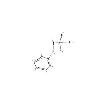 FC1(F)CN(c2[c]cccc2)C1